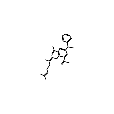 CC(=O)c1cc(C(C)c2ccccc2)cc(C(C)=O)c1CC=C(C)CCC=C(C)C